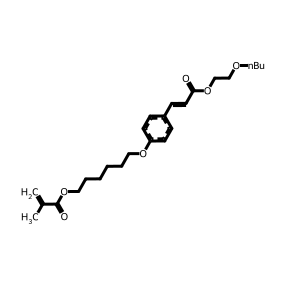 C=C(C)C(=O)OCCCCCCOc1ccc(/C=C/C(=O)OCCOCCCC)cc1